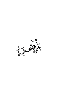 C[N+]1(C(=O)OCc2ccccc2)C2CCC(=O)C1CC2